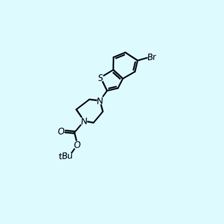 CC(C)(C)OC(=O)N1CCN(c2cc3cc(Br)ccc3s2)CC1